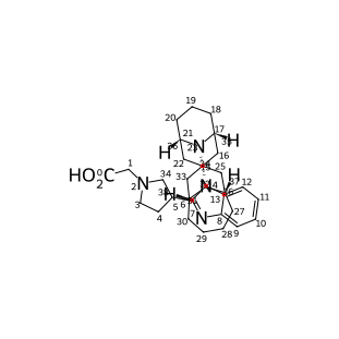 O=C(O)CN1CC[C@H](c2nc3ccccc3n2[C@H]2C[C@H]3CCC[C@@H](C2)N3[C@@H]2C[C@@H]3CCCC[C@@H](C3)C2)C1